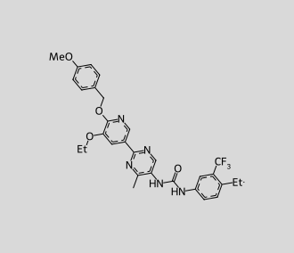 C[CH]c1ccc(NC(=O)Nc2cnc(-c3cnc(OCc4ccc(OC)cc4)c(OCC)c3)nc2C)cc1C(F)(F)F